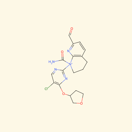 NC(=O)[N+]1(c2ncc(Cl)c(OC3CCOC3)n2)CCCc2ccc(C=O)nc21